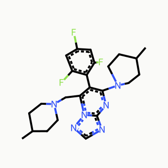 CC1CCN(Cc2c(-c3c(F)cc(F)cc3F)c(N3CCC(C)CC3)nc3ncnn23)CC1